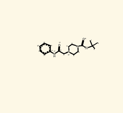 CC(C)(C)OC(=O)N1CCN(CC(=O)Nc2ccccc2)CC1